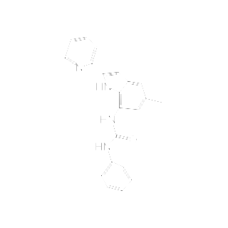 Cc1cc(NC(=O)Nc2ccccc2)c2[nH]c(-c3ccccn3)cc2c1